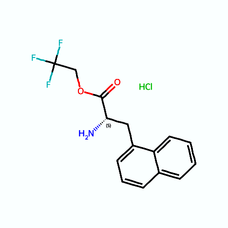 Cl.N[C@@H](Cc1cccc2ccccc12)C(=O)OCC(F)(F)F